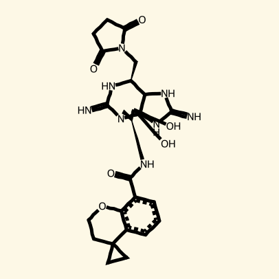 N=C1NC2[C@H](CN3C(=O)CCC3=O)NC(=N)N3C[C@H](NC(=O)c4cccc5c4OCCC54CC4)C(O)(O)C23N1